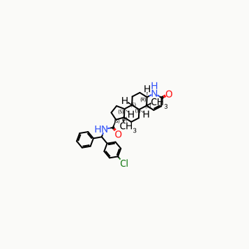 C[C@]12C=CC(=O)N[C@@H]1CC[C@@H]1[C@@H]2CC[C@]2(C)[C@@H](C(=O)NC(c3ccccc3)c3ccc(Cl)cc3)CC[C@@H]12